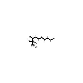 CCCCCCCC(C)C(C)(C)P